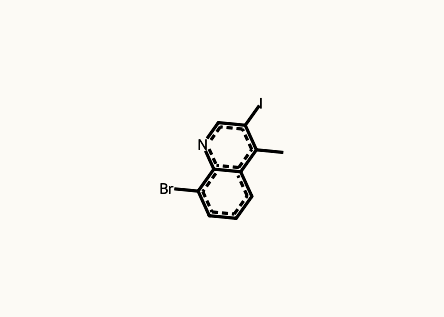 Cc1c(I)cnc2c(Br)cccc12